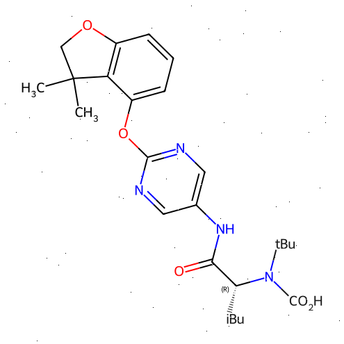 CCC(C)[C@H](C(=O)Nc1cnc(Oc2cccc3c2C(C)(C)CO3)nc1)N(C(=O)O)C(C)(C)C